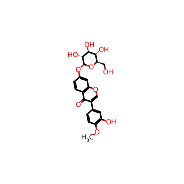 COc1ccc(-c2coc3cc(O[C@@H]4O[C@H](CO)[C@@H](O)[C@H](O)[C@H]4O)ccc3c2=O)cc1O